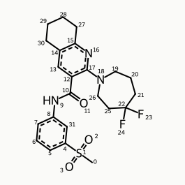 CS(=O)(=O)c1cccc(NC(=O)c2cc3c(nc2N2CCCC(F)(F)CC2)CCCC3)c1